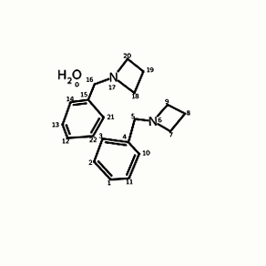 O.c1ccc(CN2CCC2)cc1.c1ccc(CN2CCC2)cc1